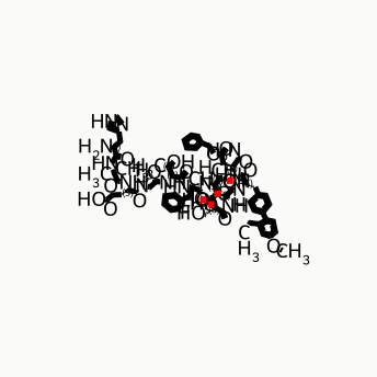 CCc1cc(OC)ccc1-c1ccc(C[C@H](NC(=O)[C@H](CC(=O)O)NC(=O)[C@H](CO)NC(=O)[C@@H](NC(=O)[C@](C)(Cc2ccccc2F)NC(=O)[C@@H](NC(=O)CNC(=O)[C@H](CCC(=O)O)NC(=O)C(C)(C)NC(=O)[C@@H](N)Cc2c[nH]cn2)[C@@H](C)O)[C@@H](C)O)C(=O)N[C@@H](CC(=O)OCc2ccccc2)C(N)=O)cc1